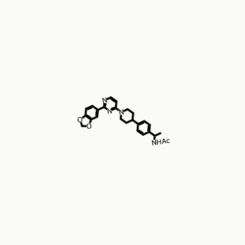 CC(=O)NC(C)c1ccc(C2CCN(c3ccnc(-c4ccc5c(c4)OCO5)n3)CC2)cc1